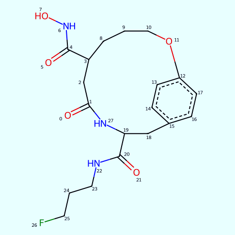 O=C1CC(C(=O)NO)CCCOc2ccc(cc2)CC(C(=O)NCCCF)N1